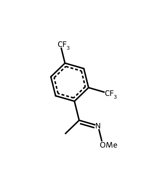 CON=C(C)c1ccc(C(F)(F)F)cc1C(F)(F)F